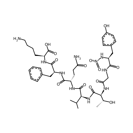 CC(C)[C@H](NC(=O)[C@@H](NC(=O)CNC(=O)[C@H](Cc1ccc(O)cc1)N[N+](=O)[O-])[C@@H](C)O)C(=O)N[C@@H](CCC(N)=O)C(=O)N[C@@H](Cc1ccccc1)C(=O)N[C@@H](CCCCN)C(=O)O